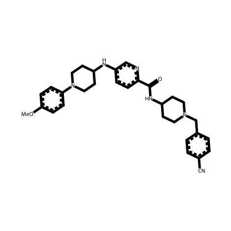 COc1ccc(N2CCC(Nc3ccc(C(=O)NC4CCN(Cc5ccc(C#N)cc5)CC4)nc3)CC2)cc1